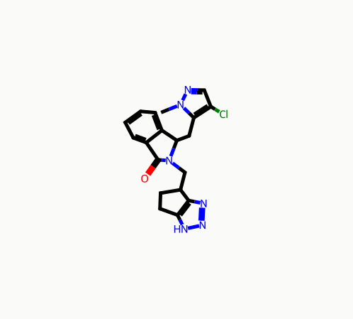 Cn1ncc(Cl)c1CC1c2ccccc2C(=O)N1CC1CCc2[nH]nnc21